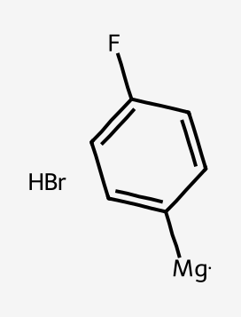 Br.Fc1cc[c]([Mg])cc1